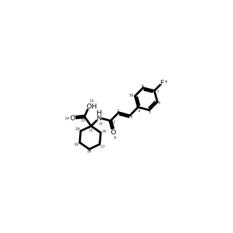 O=C(/C=C/c1ccc(F)cc1)NC1(C(=O)O)CCCCC1